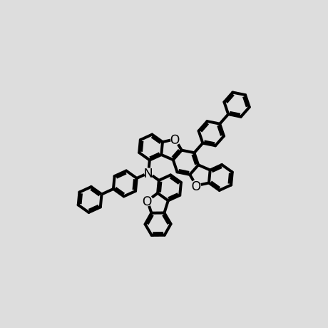 c1ccc(-c2ccc(-c3c4oc5cccc(N(c6ccc(-c7ccccc7)cc6)c6cccc7c6oc6ccccc67)c5c4cc4oc5ccccc5c34)cc2)cc1